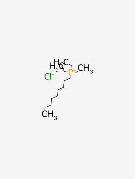 CCCCCCCCC[P+](CC)(CC)CC.[Cl-]